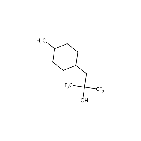 CC1CCC(CC(O)(C(F)(F)F)C(F)(F)F)CC1